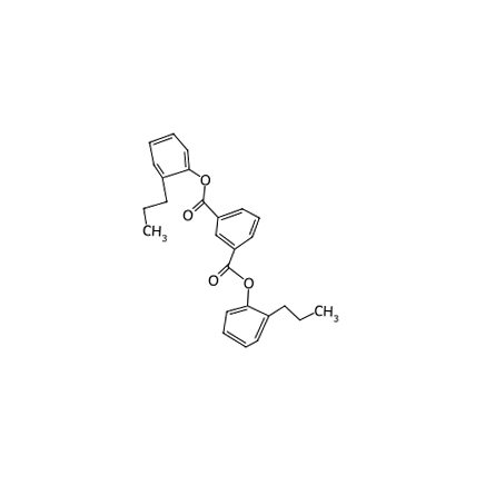 CCCc1ccccc1OC(=O)c1cccc(C(=O)Oc2ccccc2CCC)c1